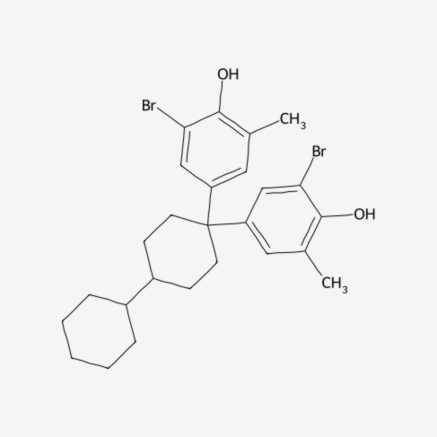 Cc1cc(C2(c3cc(C)c(O)c(Br)c3)CCC(C3CCCCC3)CC2)cc(Br)c1O